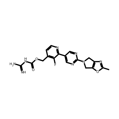 Cc1nc2c(o1)CN(c1ncc(-c3nccc(COC(=O)NC(=N)N)c3F)cn1)C2